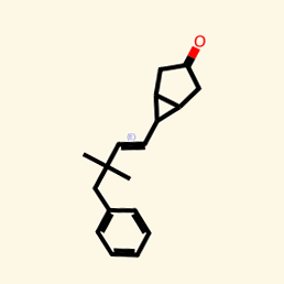 CC(C)(/C=C/C1C2CC(=O)CC12)Cc1ccccc1